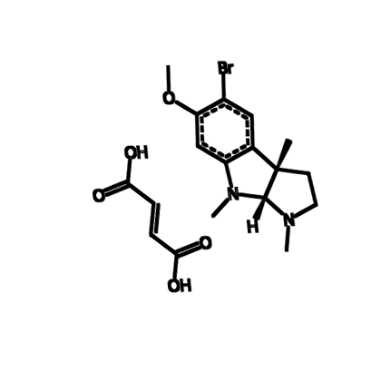 COc1cc2c(cc1Br)[C@]1(C)CCN(C)[C@@H]1N2C.O=C(O)/C=C/C(=O)O